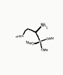 CCCCCCCC(N)[Si](OC)(OC)OC